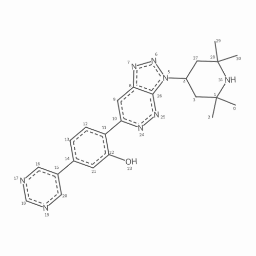 CC1(C)CC(n2nnc3cc(-c4ccc(-c5cncnc5)cc4O)nnc32)CC(C)(C)N1